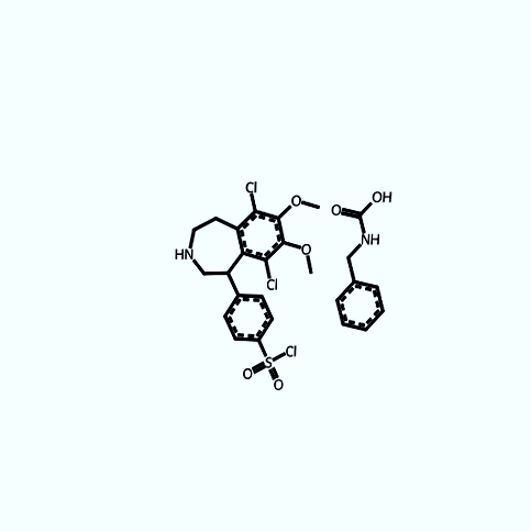 COc1c(Cl)c2c(c(Cl)c1OC)C(c1ccc(S(=O)(=O)Cl)cc1)CNCC2.O=C(O)NCc1ccccc1